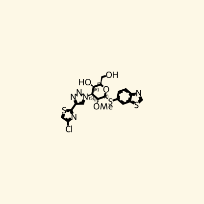 CO[C@@H]1[C@@H](n2cc(-c3nc(Cl)cs3)nn2)[C@@H](O)[C@@H](CO)O[C@@H]1Sc1ccc2ncsc2c1